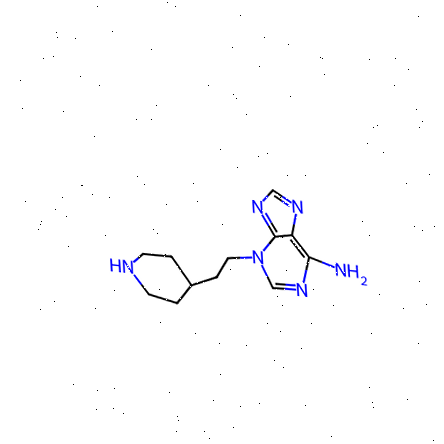 Nc1ncn(CCC2CCNCC2)c2ncnc1-2